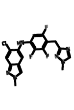 Cn1cnc(Cc2c(F)[c]c(Nc3cc4cn(C)nc4cc3Cl)c(F)c2F)n1